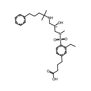 CCc1cc(CCCC(=O)O)ccc1S(=O)(=O)N(C)C[C@H](O)CNC(C)(C)CCCc1ccccc1